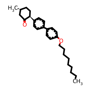 CCCCCCCCCOc1ccc(-c2ccc([C@@H]3CC[C@@H](C)CC3=O)cc2)cc1